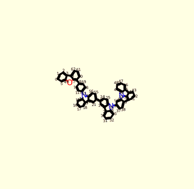 c1ccc2c(c1)oc1c(-c3ccc(-n4c5ccccc5c5cc(-c6ccc7c(c6)c6ccccc6n7-c6ccc7c8cccc9c%10ccccc%10n(c7c6)c98)ccc54)cc3)cccc12